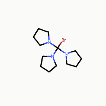 BrC(N1CCCC1)(N1CCCC1)N1CCCC1